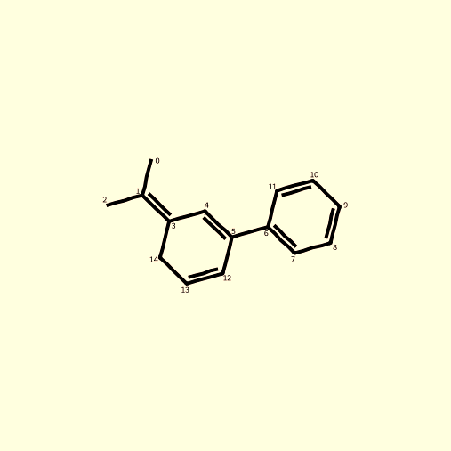 CC(C)=C1[C]=C(c2ccccc2)C=CC1